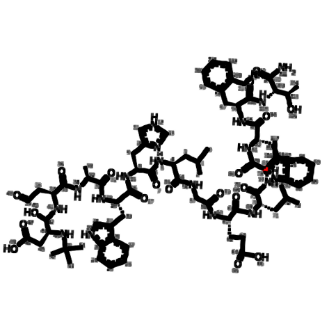 CC(C)C[C@H](NC(=O)[C@H](Cc1c[nH]cn1)NC(=O)[C@H](Cc1c[nH]c2ccccc12)NC(=O)[C@H](C)NC(=O)[C@H](CC=O)NC(O)[C@H](CC(=O)O)NC(C)(C)C)C(=O)NCC(=O)N[C@@H](CCC(=O)O)C(=O)N[C@@H](CC(C)C)C(=O)N[C@H](C(=O)N[C@@H](Cc1c[nH]c2ccccc12)C(=O)N[C@@H](Cc1ccccc1CN)C(=O)N[C@H](C(N)=O)[C@@H](C)O)C(C)C